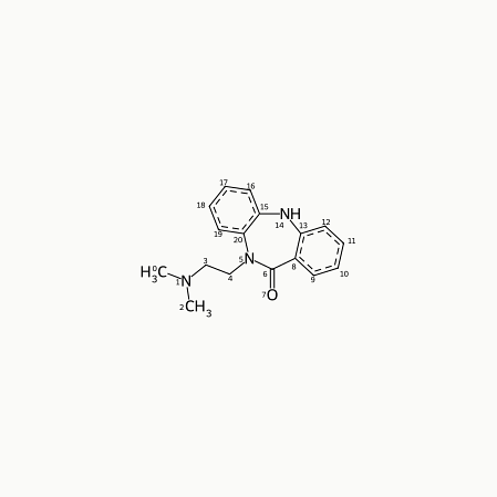 CN(C)CCN1C(=O)c2ccccc2Nc2ccccc21